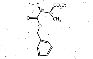 CCOC(=O)[C@@H](C)[C@H](C)C(=O)OCc1ccccc1